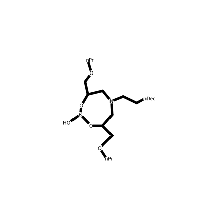 CCCCCCCCCCCCN1CC(COCCC)OB(O)OC(COCCC)C1